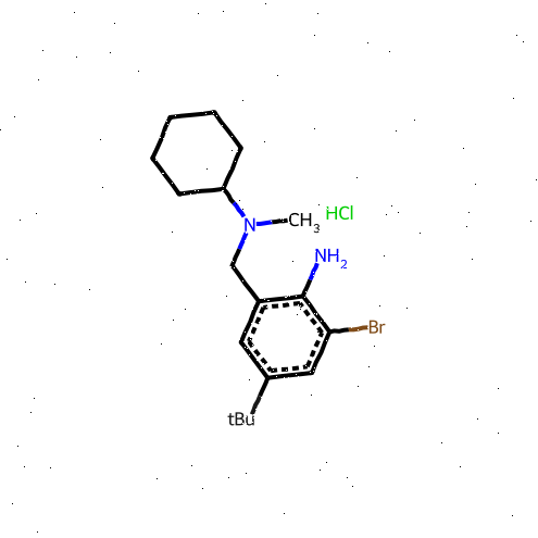 CN(Cc1cc(C(C)(C)C)cc(Br)c1N)C1CCCCC1.Cl